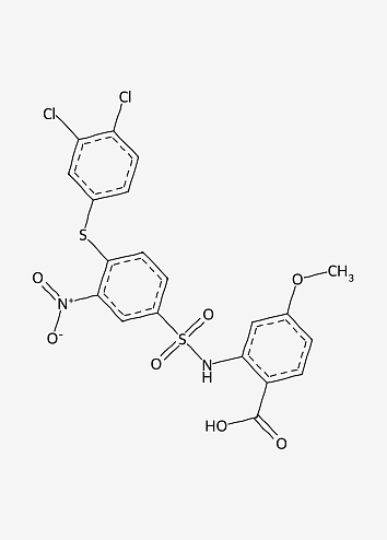 COc1ccc(C(=O)O)c(NS(=O)(=O)c2ccc(Sc3ccc(Cl)c(Cl)c3)c([N+](=O)[O-])c2)c1